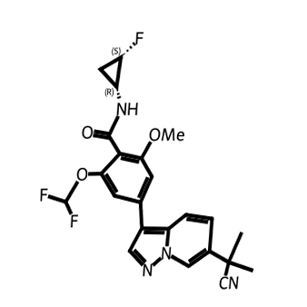 COc1cc(-c2cnn3cc(C(C)(C)C#N)ccc23)cc(OC(F)F)c1C(=O)N[C@@H]1C[C@@H]1F